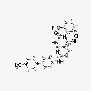 CN1CCN(c2ccc(Nc3ncc4c(=N)n(-c5c(Cl)cccc5C(F)(F)F)c(=O)[nH]c4n3)cc2)CC1